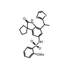 COc1ccccc1S(=O)(=O)Nc1cc(C(C)c2nccs2)c2c(c1)C1(CCCC1)C(=O)N2